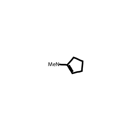 CNC1=CCCC1